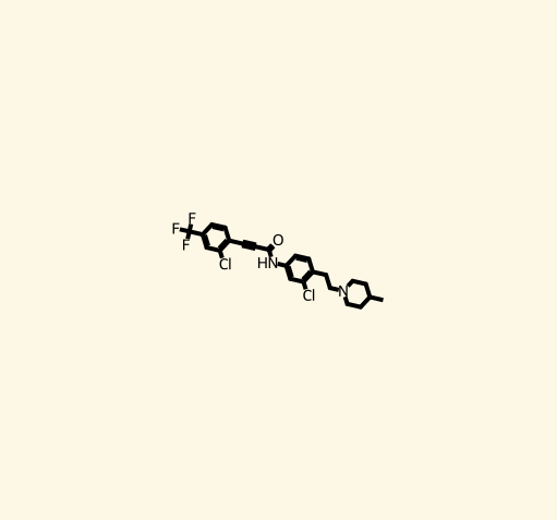 CC1CCN(CCc2ccc(NC(=O)C#Cc3ccc(C(F)(F)F)cc3Cl)cc2Cl)CC1